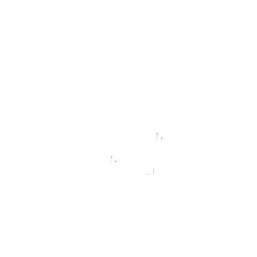 [C]#CCCC(CC)(N1CC1)N1CC1